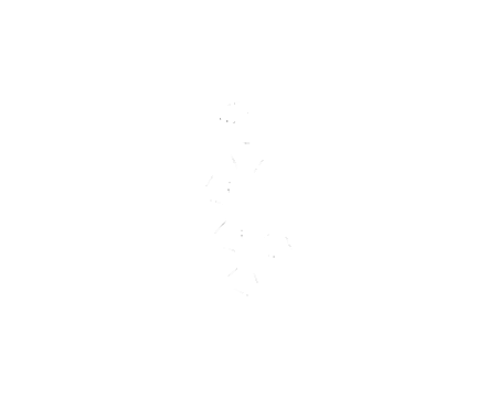 c1cc(-c2cccc(-c3nccs3)c2)cc(-c2ccc3c4ccccc4c4ccccc4c3c2)c1